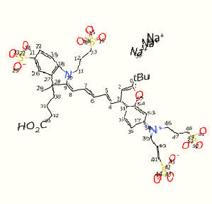 CC(C)(C)c1cc(C=CC=CC=C2N(CCCS(=O)(=O)[O-])c3ccc(S(=O)(=O)[O-])cc3C2(C)CCCC(=O)O)c2ccc(=[N+](CCCS(=O)(=O)[O-])CCCS(=O)(=O)[O-])cc-2o1.[Na+].[Na+].[Na+]